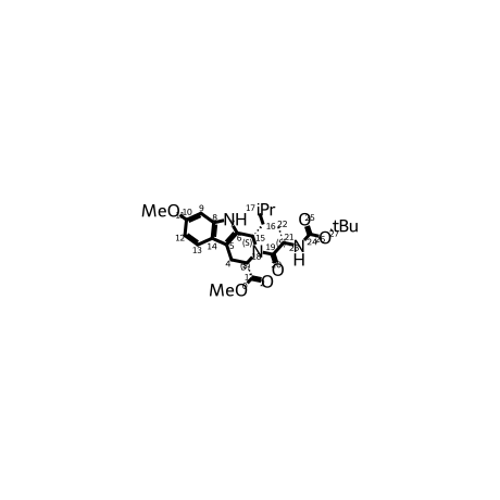 COC(=O)[C@@H]1Cc2c([nH]c3cc(OC)ccc23)[C@H](CC(C)C)N1C(=O)[C@H](C)NC(=O)OC(C)(C)C